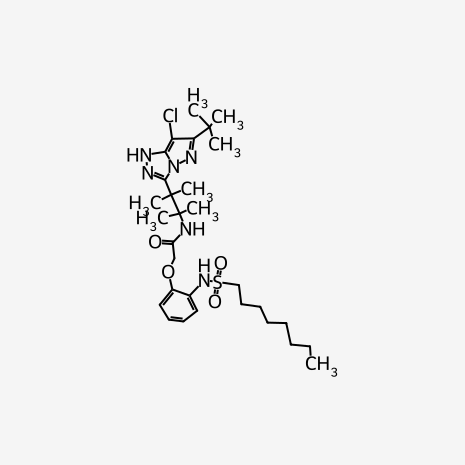 CCCCCCCCS(=O)(=O)Nc1ccccc1OCC(=O)NC(C)(C)C(C)(C)c1n[nH]c2c(Cl)c(C(C)(C)C)nn12